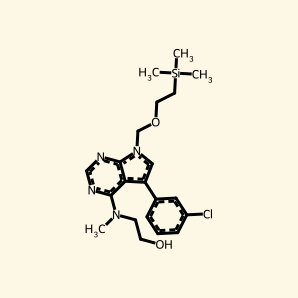 CN(CCO)c1ncnc2c1c(-c1cccc(Cl)c1)cn2COCC[Si](C)(C)C